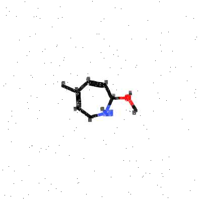 COC1C=CC(C)=CCN1